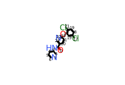 O=C(Nc1cccnc1)c1ccc(Oc2cc(Cl)ccc2Cl)nc1